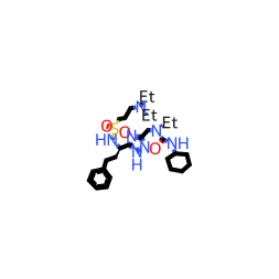 CCN(CC)CCCS(=O)(=O)N[C@H](CCc1ccccc1)c1nc(CN(CC)C(=O)NC2CCCCC2)n[nH]1